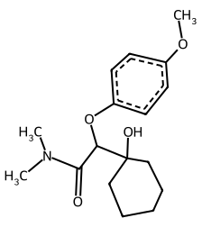 COc1ccc(OC(C(=O)N(C)C)C2(O)CCCCC2)cc1